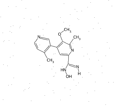 [H]/N=C(\NO)c1cc(-c2cnccc2C)c(OC)c(C)n1